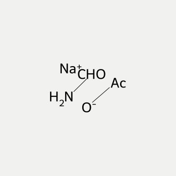 CC(=O)[O-].NC=O.[Na+]